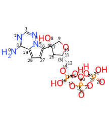 Nc1ncnn2c([C@@]3(O)CO[C@H](COP(=O)(O)OP(=O)(O)OP(=O)(O)O)C3)ccc12